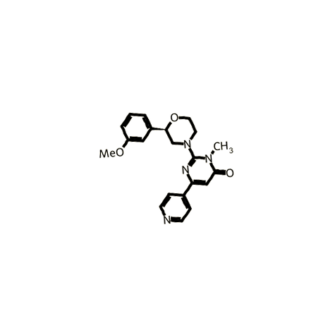 COc1cccc([C@@H]2CN(c3nc(-c4ccncc4)cc(=O)n3C)CCO2)c1